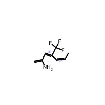 C=C(N)/C=C(\C=C/C)C(F)(F)F